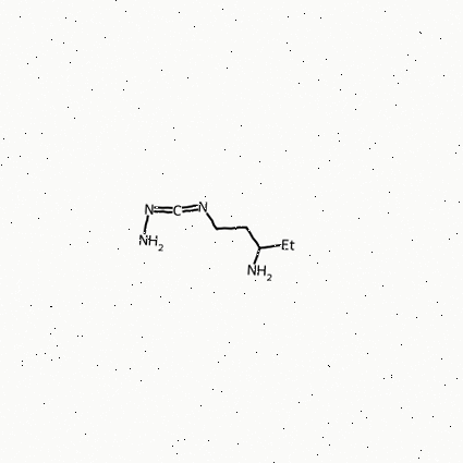 CCC(N)CCN=C=NN